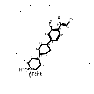 CCCCC[Si@]1(C)CC[C@@H](C2CCC(c3ccc(C(F)=CF)c(F)c3)CC2)CC1